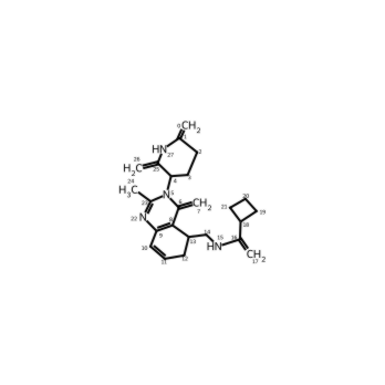 C=C1CCC(N2C(=C)C3=C(C=CCC3CNC(=C)C3CCC3)N=C2C)C(=C)N1